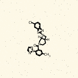 Cc1ccc(-n2nccn2)c(C(=O)N2CC[C@H]3CN(c4nc5ccc(Cl)cc5s4)[C@H]3C2)c1